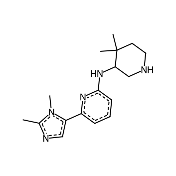 Cc1ncc(-c2cccc(NC3CNCCC3(C)C)n2)n1C